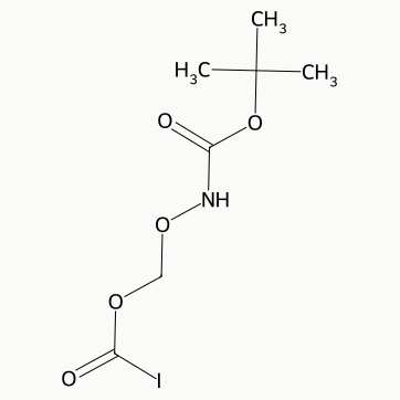 CC(C)(C)OC(=O)NOCOC(=O)I